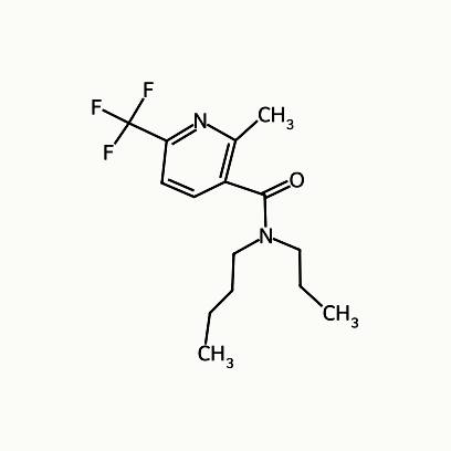 CCCCN(CCC)C(=O)c1ccc(C(F)(F)F)nc1C